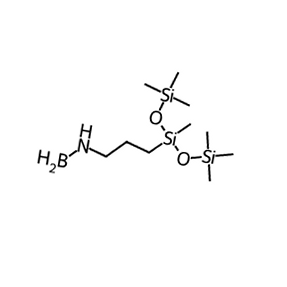 BNCCC[Si](C)(O[Si](C)(C)C)O[Si](C)(C)C